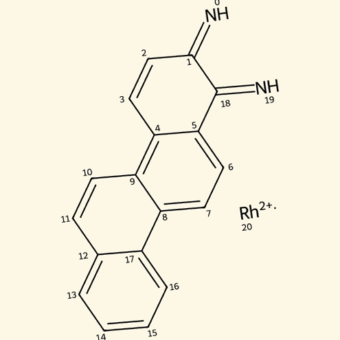 N=C1C=Cc2c(ccc3c2ccc2ccccc23)C1=N.[Rh+2]